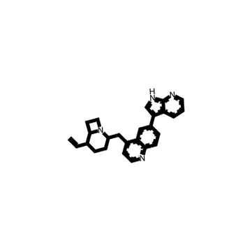 C=CC1CCC(Cc2ccnc3ccc(-c4c[nH]c5ncccc45)cc23)N2CCC12